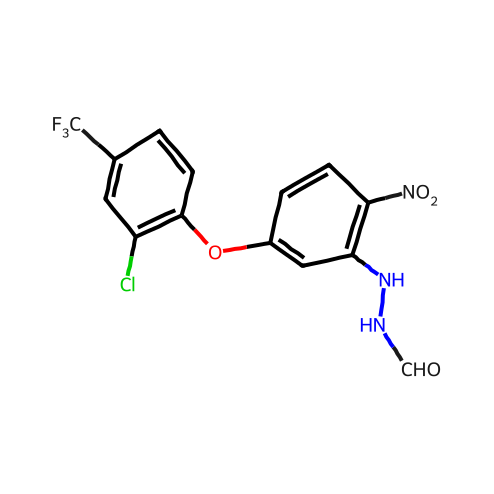 O=CNNc1cc(Oc2ccc(C(F)(F)F)cc2Cl)ccc1[N+](=O)[O-]